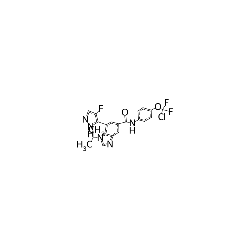 CC(C)n1cnc2cc(C(=O)Nc3ccc(OC(F)(F)Cl)cc3)cc(-c3[nH]ncc3F)c21